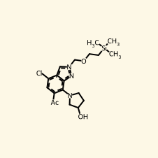 CC(=O)c1cc(Cl)c2cn(COCC[Si](C)(C)C)nc2c1N1CCC(O)C1